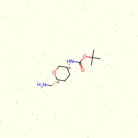 CC(C)(C)OC(=O)N[C@@H]1CC[C@H](CN)OC1